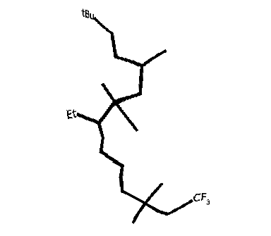 CCC(CCCC(C)(C)CC(F)(F)F)C(C)(C)CC(C)CCC(C)(C)C